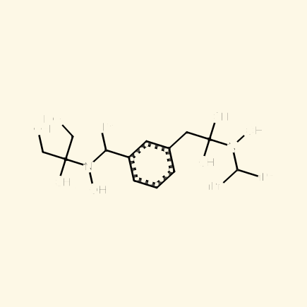 CC(C)C(C(C)C)N(O)C(C)(C)Cc1cccc(C(C(C)C)N(O)C(C)(CO)CO)c1